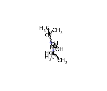 CC#CC[C@H](C)[C@H](O)/C=C/[C@@H]1[C@H]2C/C(=C/CCCC(=O)N(CCC)CCC)C[C@H]2C[C@H]1O